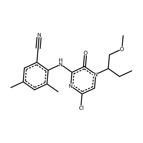 CCC(COC)n1cc(Cl)nc(Nc2c(C)cc(C)cc2C#N)c1=O